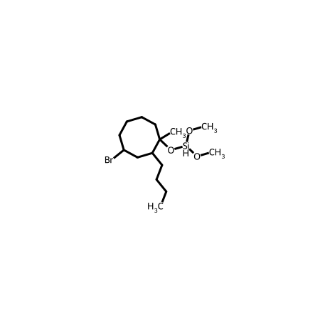 CCCCC1CC(Br)CCCCC1(C)O[SiH](OC)OC